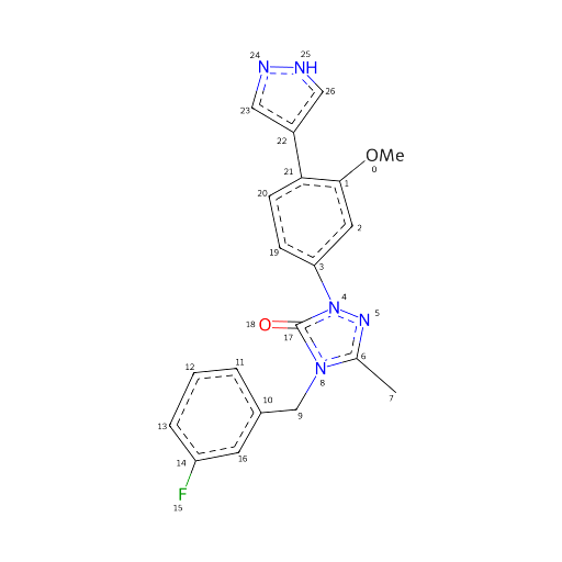 COc1cc(-n2nc(C)n(Cc3cccc(F)c3)c2=O)ccc1-c1cn[nH]c1